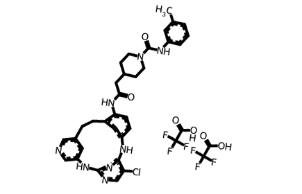 Cc1cccc(NC(=O)N2CCC(CC(=O)Nc3ccc4cc3CCc3cncc(c3)Nc3ncc(Cl)c(n3)N4)CC2)c1.O=C(O)C(F)(F)F.O=C(O)C(F)(F)F